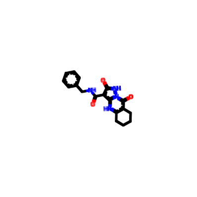 O=C(NCc1ccccc1)c1c(=O)[nH]n2c(=O)c3c([nH]c12)CCCC3